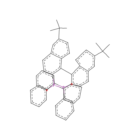 CC(C)(C)c1ccc2c(-c3c(P(c4ccccc4)c4ccccc4)ccc4cc(C(C)(C)C)ccc34)c(P(c3ccccc3)c3ccccc3)ccc2c1